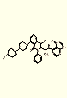 C[C@H](Nc1ncnc2[nH]ccc(=O)c12)c1c(Cl)c2cccc(N3CCN(C4CCN(C)CC4)CC3)c2c(=O)n1-c1ccccc1